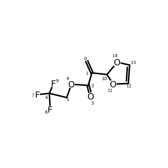 C=C(C(=O)OCC(F)(F)F)C1OC=CO1